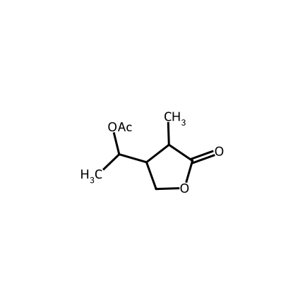 CC(=O)OC(C)C1COC(=O)C1C